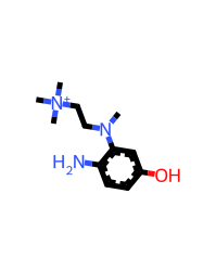 CN(CC[N+](C)(C)C)c1cc(O)ccc1N